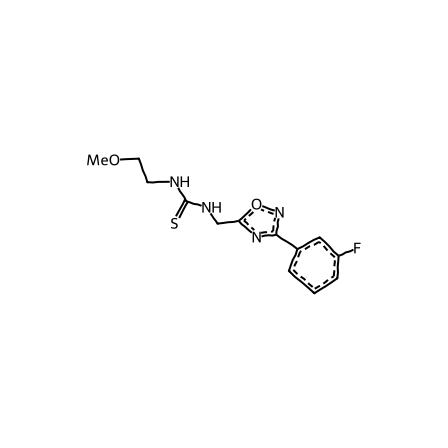 COCCNC(=S)NCc1nc(-c2cccc(F)c2)no1